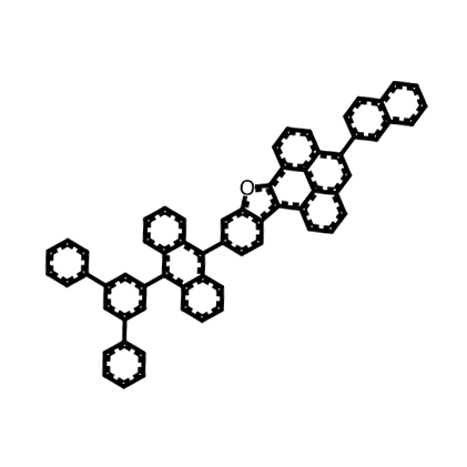 c1ccc(-c2cc(-c3ccccc3)cc(-c3c4ccccc4c(-c4ccc5c(c4)oc4c6cccc7c(-c8ccc9ccccc9c8)cc8cccc(c54)c8c76)c4ccccc34)c2)cc1